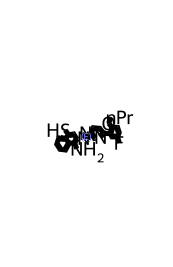 CCCOc1ccc(F)cc1-c1ccc(/N=N/c2cc(S)c3ccccc3c2N)cn1